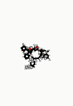 CC[C@H]1OC(=O)[C@H](C)[C@@H](O[C@H]2C[C@@](C)(OC)[C@@H](O)[C@H](C)O2)[C@H](C)[C@@H](O[C@@H]2O[C@H](C)C[C@H](N(C)CCCNC(=O)/C=C/c3cc4c(s3)-c3cc(F)ccc3Sc3ccccc3-4)[C@H]2O)[C@](C)(O)C[C@@H](C)CN(C)[C@H](C)[C@@H](O)[C@]1(C)O